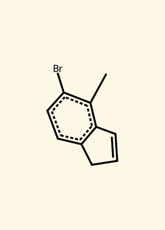 Cc1c(Br)ccc2c1C=CC2